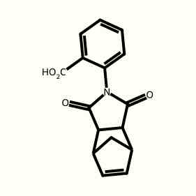 O=C(O)c1ccccc1N1C(=O)C2C3C=CC(C3)C2C1=O